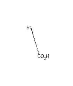 CCC=CC=CCCCCCCCCC=CCCCC(=O)O